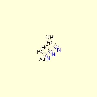 C#N.C#N.C#N.[Au].[KH]